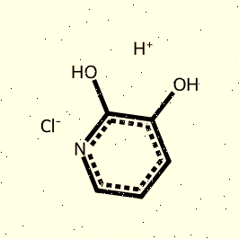 Oc1cccnc1O.[Cl-].[H+]